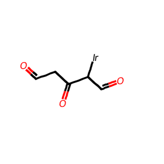 O=CCC(=O)[CH]([Ir])C=O